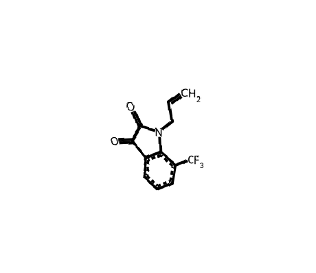 C=CCN1C(=O)C(=O)c2cccc(C(F)(F)F)c21